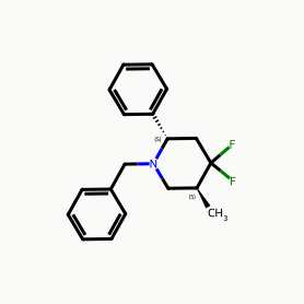 C[C@H]1CN(Cc2ccccc2)[C@H](c2ccccc2)CC1(F)F